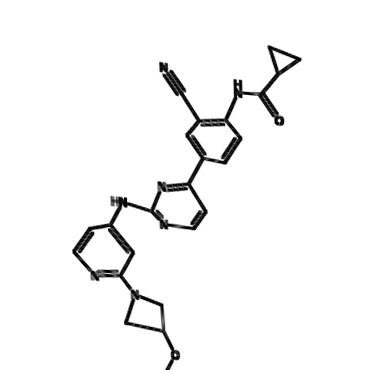 COC1CN(c2cc(Nc3nccc(-c4ccc(NC(=O)C5CC5)c(C#N)c4)n3)ccn2)C1